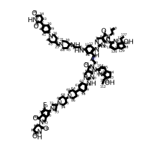 C=CCn1c(=O)c2cnc(Nc3ccc(NCCNC4CCN(CC5CCN(c6ccc(C7CCC(=O)NC7=O)cc6)CC5)CC4)cc3/C=C/Cn3c(=O)c4cnc(Nc5ccc(C6CCN(C7CCN(C8CN(c9cc%10c(cc9F)C(=O)N(C9CCC(=O)NC9=O)C%10)C8)CC7)CC6)cc5)nc4n3-c3ccc4c(n3)[C@](O)(CC)CC4)nc2n1-c1ccc2c(n1)[C@@](O)(CC)CC2